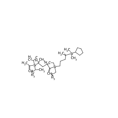 C=C(CCC(C)[Si](C(=C)C)(C(C)C)C(C)C)[Si](CC)(CC)CCCC(=C)[Si](C)(C)C1CCCC1